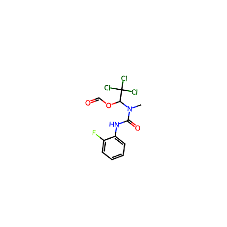 CN(C(=O)Nc1ccccc1F)C(OC=O)C(Cl)(Cl)Cl